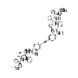 CC(C)(C)OC(=O)NC1(C(=O)N2CCC[C@H]2c2nc3cc(C#Cc4ccc5[nH]c([C@@H]6CCCN6C(=O)C6(NC(=O)OC(C)(C)C)CCC6)nc5c4)ccc3[nH]2)CCC1